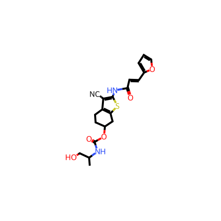 CC(CO)NC(=O)OC1CCc2c(sc(NC(=O)C=Cc3ccco3)c2C#N)C1